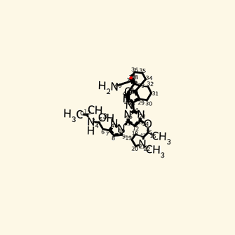 CC(C)NC(O)Cc1ccn(-c2cc(O[C@@H](C)[C@@H]3CCCN3C)nc(-c3noc4c3CCC[C@@]43CCCc4sc(N)c(C#N)c43)n2)n1